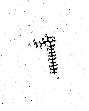 O=C1NC(=O)C(C(F)(F)C(F)(F)C(F)(F)C(F)(F)C(F)(F)C(F)(F)C(F)(F)C(F)(F)C(F)(F)C(F)(F)F)=C1C(F)(F)C(=O)OC(F)(F)C(F)(F)F